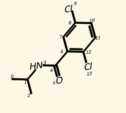 CC(C)NC(=O)c1cc(Cl)ccc1Cl